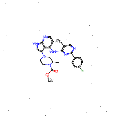 CC(C)c1cnc(-c2ccc(F)cc2)nc1Nc1ccnc2[nH]cc(N3CCN(C(=O)OC(C)(C)C)[C@H](C)C3)c12